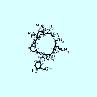 C=CC[C@@H]1/C=C(\C)C[C@@H](C)C[C@H](OC)[C@H]2O[C@@](O)(C(=O)C(=O)N3CCCCC3C(=O)O[C@H](/C(C)=C/[C@@H]3CC[C@@H](O)[C@H](CO)C3)[C@H](C)[C@@H](O)CC1=O)[C@H](C)C[C@@H]2OC